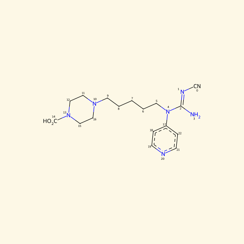 N#CN=C(N)N(CCCCCN1CCN(C(=O)O)CC1)c1ccncc1